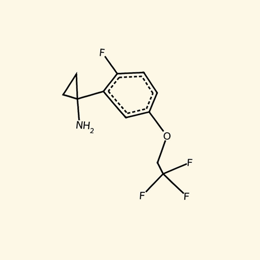 NC1(c2cc(OCC(F)(F)F)ccc2F)CC1